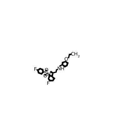 C=CCOc1cccc(CNCCc2cn(S(=O)(=O)c3ccc(F)cc3)c3cc(F)ccc23)c1